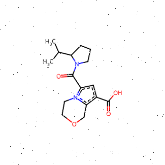 CC(C)C1CCCN1C(=O)c1cc(C(=O)O)c2n1CCOC2